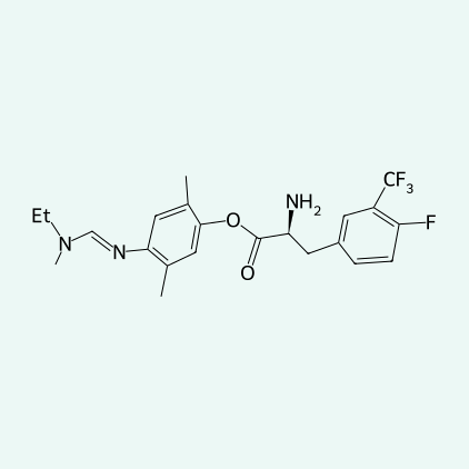 CCN(C)C=Nc1cc(C)c(OC(=O)[C@@H](N)Cc2ccc(F)c(C(F)(F)F)c2)cc1C